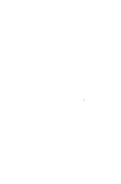 C=CCc1ccccc1[PH](=O)OCCC